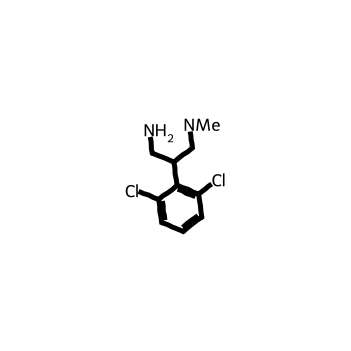 CNCC(CN)c1c(Cl)cccc1Cl